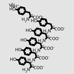 N[C@@H](Cc1ccc(O)cc1)C(=O)[O-].N[C@@H](Cc1ccc(O)cc1)C(=O)[O-].N[C@@H](Cc1ccc(O)cc1)C(=O)[O-].N[C@@H](Cc1ccc(O)cc1)C(=O)[O-].N[C@@H](Cc1ccc(O)cc1)C(=O)[O-].N[C@@H](Cc1ccc(O)cc1)C(=O)[O-].[NH4+].[V+5]